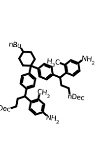 CCCCCCCCCCCCC(c1ccc(C2(c3ccc(C(CCCCCCCCCCCC)c4ccc(N)cc4C)cc3)CCC(CCCC)CC2)cc1)c1ccc(N)cc1C